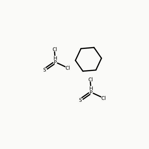 C1CCCCC1.S=[PH](Cl)Cl.S=[PH](Cl)Cl